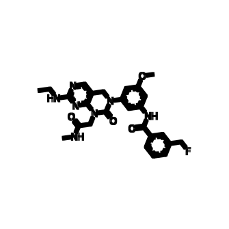 CCNc1ncc2c(n1)N(CC(=O)NC)C(=O)N(c1cc(NC(=O)c3cccc(CF)c3)cc(OC)c1)C2